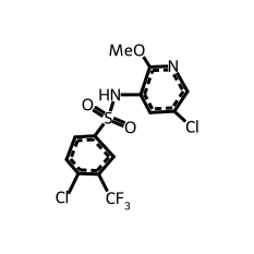 COc1ncc(Cl)cc1NS(=O)(=O)c1ccc(Cl)c(C(F)(F)F)c1